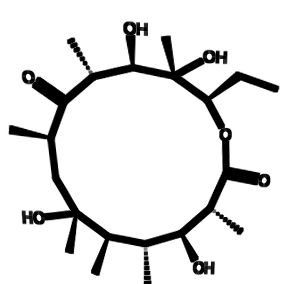 CC[C@H]1OC(=O)[C@H](C)[C@@H](O)[C@H](C)[C@@H](C)[C@](C)(O)C[C@@H](C)C(=O)[C@H](C)[C@@H](O)[C@]1(C)O